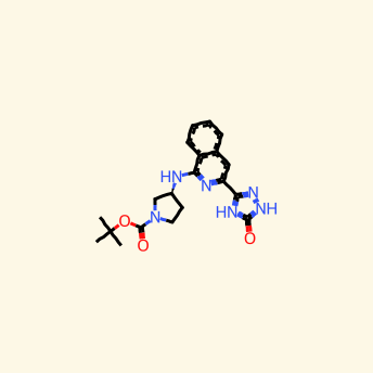 CC(C)(C)OC(=O)N1CC[C@H](Nc2nc(-c3n[nH]c(=O)[nH]3)cc3ccccc23)C1